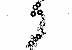 C=N/C(=C\C=C(/C)Oc1ccc2c(c1)CN(C1CCC(=O)NC1=O)C2=O)N1CCN(CCOc2ccc([C@@H]3c4ccc(O)cc4CC[C@@H]3c3ccccc3)cc2)CC1